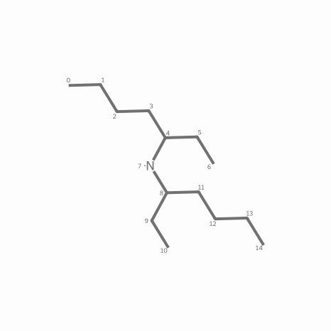 CCCCC(CC)[N]C(CC)CCCC